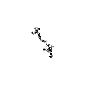 Cc1ncsc1-c1ccc(C(C)NC(=O)C2CC(O)CN2C(=O)C(NC(=O)CCCCCC(=O)N2CCN(CCOc3ccc(N4CCCC(Oc5cc(-c6ccccc6O)nnc5N)C4)cc3)CC2)C(C)(C)C)cc1